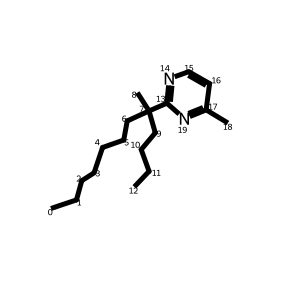 CCCCCCCC(C)(CCCC)c1nccc(C)n1